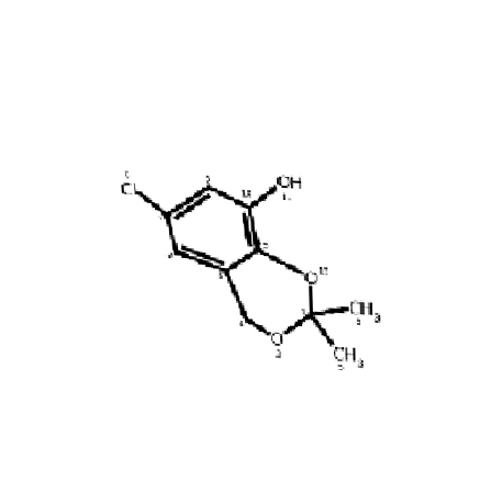 CC1(C)OCc2cc(Cl)cc(O)c2O1